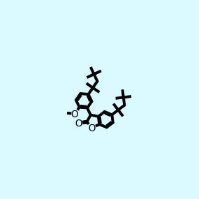 COc1ccc(C(C)(C)CC(C)(C)C)cc1C1C(=O)Oc2ccc(C(C)(C)CC(C)(C)C)cc21